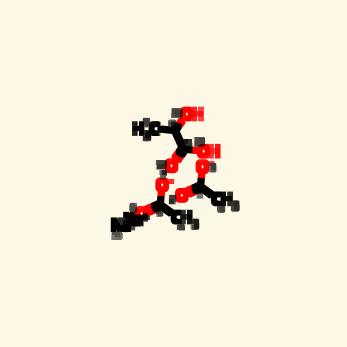 CC(=O)[O-].CC(=O)[O-].CC(O)C(=O)O.[Na+].[Na+]